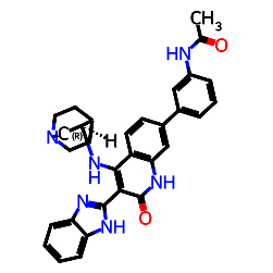 CC(=O)Nc1cccc(-c2ccc3c(N[C@H]4CN5CCC4CC5)c(-c4nc5ccccc5[nH]4)c(=O)[nH]c3c2)c1